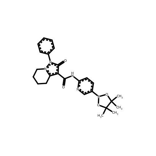 CC1(C)OB(c2ccc(NC(=O)c3c4n(n(-c5ccccc5)c3=O)CCCC4)nc2)OC1(C)C